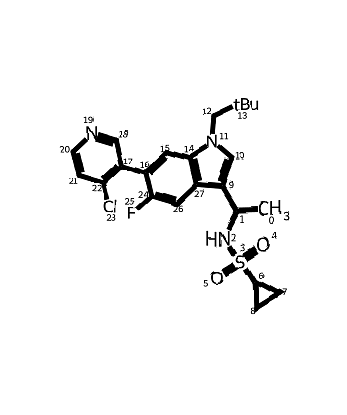 CC(NS(=O)(=O)C1CC1)c1cn(CC(C)(C)C)c2cc(-c3cnccc3Cl)c(F)cc12